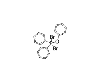 BrP(Br)(Oc1ccccc1)(c1ccccc1)c1ccccc1